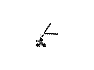 CCCCCCCCCCCCCC(CCCCCCCCCCC)OCC(O)COc1ccc(-c2nc(-c3ccc(C)cc3C)nc(-c3ccc(C)cc3C)n2)c(O)c1